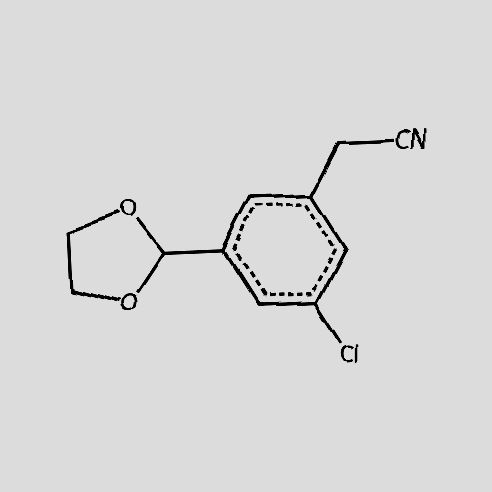 N#CCc1cc(Cl)cc(C2OCCO2)c1